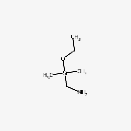 CCO[Si](C)(C)CN